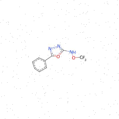 FC(F)(F)ONc1nnc(-c2ccccc2)o1